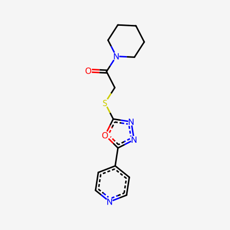 O=C(CSc1nnc(-c2ccncc2)o1)N1CCCCC1